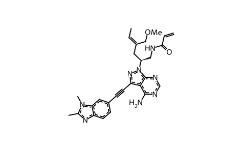 C=CC(=O)NC[C@H](C/C(=C/C)COC)n1nc(C#Cc2ccc3nc(C)n(C)c3c2)c2c(N)ncnc21